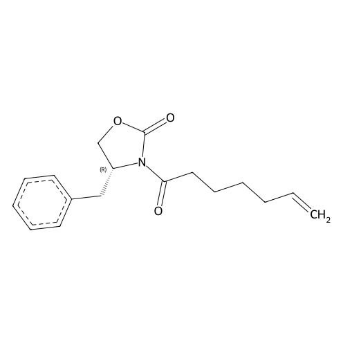 C=CCCCCC(=O)N1C(=O)OC[C@H]1Cc1ccccc1